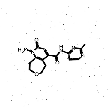 Cc1nccc(NC(=O)c2cc(=O)n(P)c3c2CCOCC3)n1